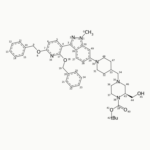 Cn1nc(-c2ccc(OCc3ccccc3)nc2OCc2ccccc2)c2ccc(N3CCC(CN4CCN(C(=O)OC(C)(C)C)[C@H](CO)C4)CC3)cc21